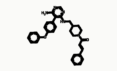 Nc1ncnc(NCC2CCN(C(=O)/C=C/c3ccccc3)CC2)c1-c1ccc(Oc2ccccc2)cc1